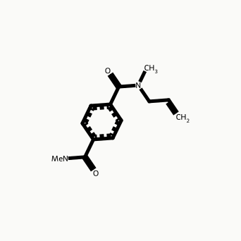 C=CCN(C)C(=O)c1ccc(C(=O)NC)cc1